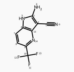 N#Cc1c(N)[nH]c2ccc(C(F)(F)F)nc12